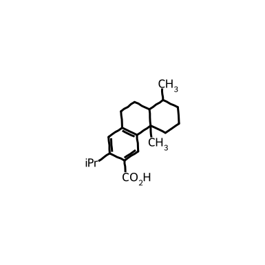 CC(C)c1cc2c(cc1C(=O)O)C1(C)CCCC(C)C1CC2